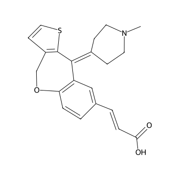 CN1CCC(=C2c3cc(C=CC(=O)O)ccc3OCc3ccsc32)CC1